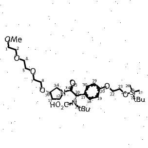 COCCOCCOCCO[C@H]1CCN(C(=O)[C@H](c2ccc(OCCO[Si](C)(C)C(C)(C)C)cc2)N(C(=O)O)C(C)(C)C)C1